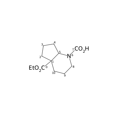 CCOC(=O)C12CCCC1N(C(=O)O)CCC2